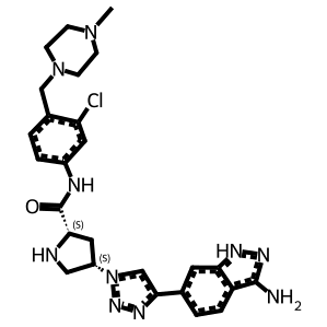 CN1CCN(Cc2ccc(NC(=O)[C@@H]3C[C@H](n4cc(-c5ccc6c(N)n[nH]c6c5)nn4)CN3)cc2Cl)CC1